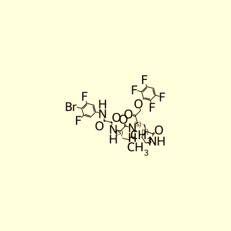 CC(C)C[C@H](NC(=O)C(=O)Nc1cc(F)c(Br)c(F)c1)C(=O)N[C@@H](C[C@@H]1CCNC1=O)C(=O)COc1c(F)c(F)cc(F)c1F